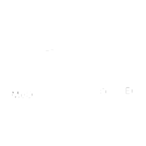 CCOCC(CC)COC